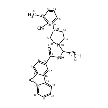 CCCC(NC(=O)c1ccc2oc3ccccc3c2c1)N1CCN(c2cccc(C)c2Cl)CC1.Cl